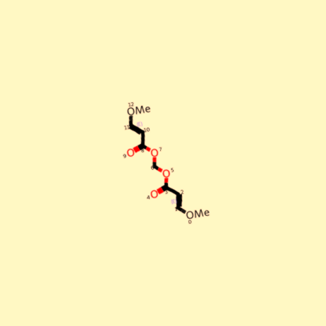 CO/C=C/C(=O)OCOC(=O)/C=C/OC